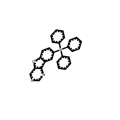 c1ccc([Si](c2ccccc2)(c2ccccc2)c2ccc3oc4cncnc4c3c2)cc1